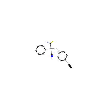 C#Cc1ccc(CC(C#N)(C(N)=S)c2ccccc2)cc1